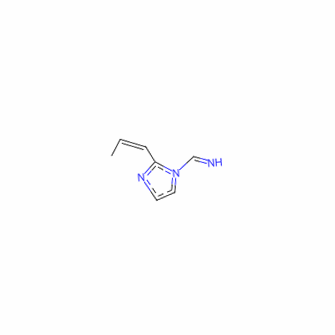 C/C=C\c1nccn1C=N